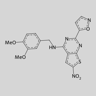 COc1ccc(CNc2nc(-c3ccno3)nc3sc([N+](=O)[O-])cc23)cc1OC